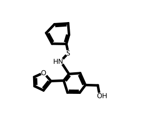 OCc1ccc(-c2ccco2)c(NSc2ccccc2)c1